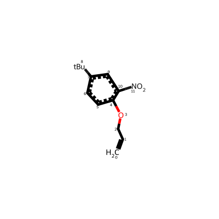 C=CCOc1ccc(C(C)(C)C)cc1[N+](=O)[O-]